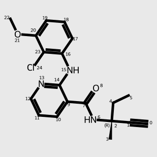 C#C[C@@](C)(CC)NC(=O)c1cccnc1Nc1cccc(OC)c1Cl